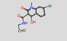 Cn1c(=O)c(C(=O)NCC=O)c(O)c2ccc(Br)cc21